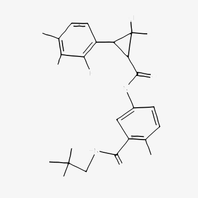 O=C(NCC(F)(F)F)c1cc(NC(=O)C2C(c3ccc(F)c(Cl)c3F)C2(Cl)Cl)ccc1Cl